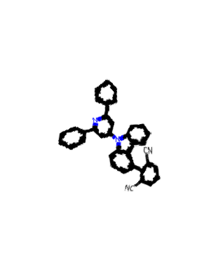 N#Cc1cccc(C#N)c1-c1cccc2c1c1ccccc1n2-c1cc(-c2ccccc2)nc(-c2ccccc2)c1